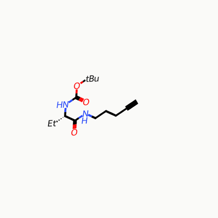 C#CCCCNC(=O)[C@H](CC)NC(=O)OC(C)(C)C